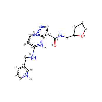 O=C(NCC1CCCO1)c1cnn2ccc(NCc3cccnc3)nc12